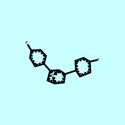 Fc1ccc(-c2cc3cc(-c4ccc(F)cc4)c2o3)cc1